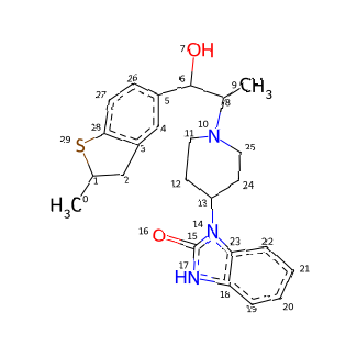 CC1Cc2cc(C(O)C(C)N3CCC(n4c(=O)[nH]c5ccccc54)CC3)ccc2S1